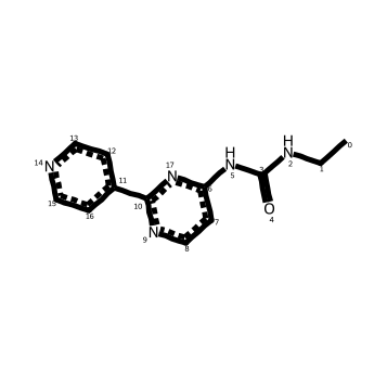 CCNC(=O)Nc1ccnc(-c2ccncc2)n1